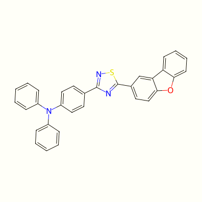 c1ccc(N(c2ccccc2)c2ccc(-c3nsc(-c4ccc5oc6ccccc6c5c4)n3)cc2)cc1